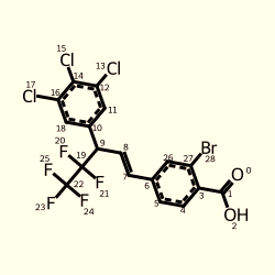 O=C(O)c1ccc(C=CC(c2cc(Cl)c(Cl)c(Cl)c2)C(F)(F)C(F)(F)F)cc1Br